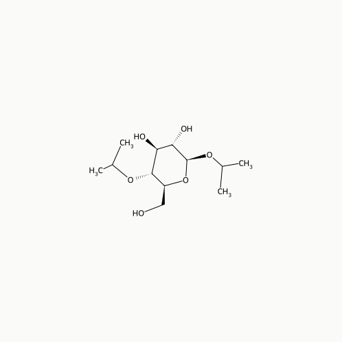 CC(C)O[C@H]1O[C@@H](CO)[C@H](OC(C)C)[C@@H](O)[C@@H]1O